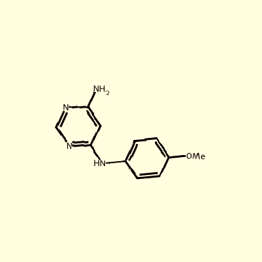 COc1ccc(Nc2cc(N)ncn2)cc1